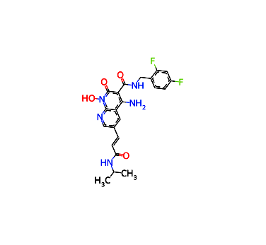 CC(C)NC(=O)C=Cc1cnc2c(c1)c(N)c(C(=O)NCc1ccc(F)cc1F)c(=O)n2O